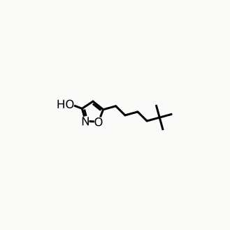 CC(C)(C)CCCCc1cc(O)no1